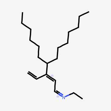 C=C/C(=C\C=N/CC)C(CCCCCC)CCCCCCC